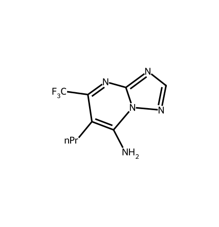 CCCc1c(C(F)(F)F)nc2ncnn2c1N